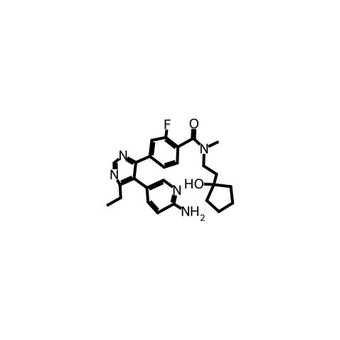 CCc1ncnc(-c2ccc(C(=O)N(C)CCC3(O)CCCC3)c(F)c2)c1-c1ccc(N)nc1